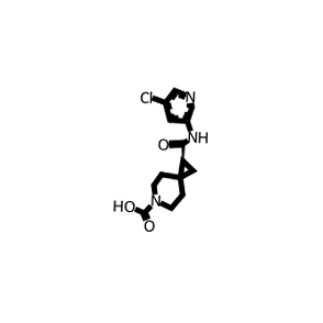 O=C(Nc1cncc(Cl)c1)[C@H]1CC12CCN(C(=O)O)CC2